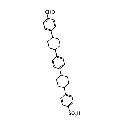 O=Cc1ccc(C2CCC(c3ccc(C4CCC(c5ccc(S(=O)(=O)O)cc5)CC4)cc3)CC2)cc1